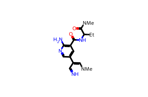 CCC(NC(=O)c1cc(/C(C=N)=C/NC)cnc1N)C(=O)NC